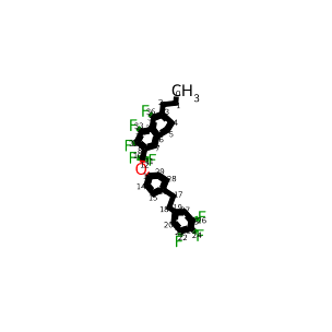 CCCc1ccc2cc(C(F)(F)Oc3ccc(CCc4cc(F)c(F)c(F)c4)cc3)c(F)c(F)c2c1F